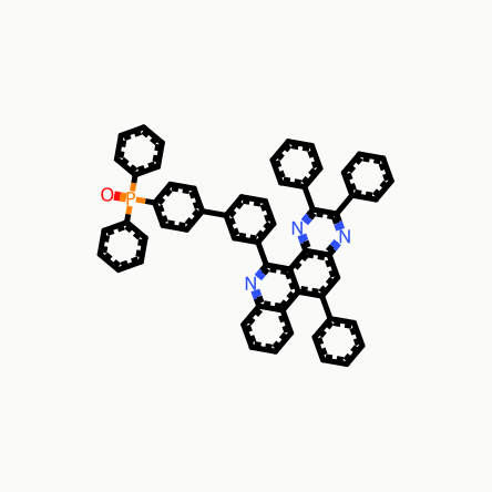 O=P(c1ccccc1)(c1ccccc1)c1ccc(-c2cccc(-c3nc4ccccc4c4c(-c5ccccc5)cc5nc(-c6ccccc6)c(-c6ccccc6)nc5c34)c2)cc1